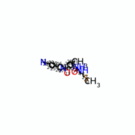 CSCCCNC(=O)Nc1cc(C(=O)N2CCC(c3ccc(C#N)cc3)CC2)ccc1C